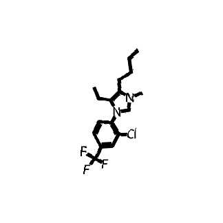 CCCCC1=C(CC)N(c2ccc(C(F)(F)F)cc2Cl)CN1C